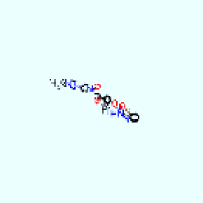 CC(C)c1cc(C(=O)C=CC(=O)N2CCC(N3CCN(C)CC3)CC2)ccc1OCC(=O)Nc1nc2ccccc2s1